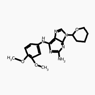 COc1ccc(Nc2nc(N)nc3c2ncn3C2CCCCO2)cc1OC